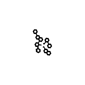 c1ccc(-c2ccc3c(-c4ccc5sc6ccccc6c5c4-c4nc(-c5ccc6ccccc6c5)nc(-c5ccccc5-c5ccccc5)n4)cccc3c2)cc1